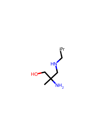 CC(C)CNCC(C)(N)CO